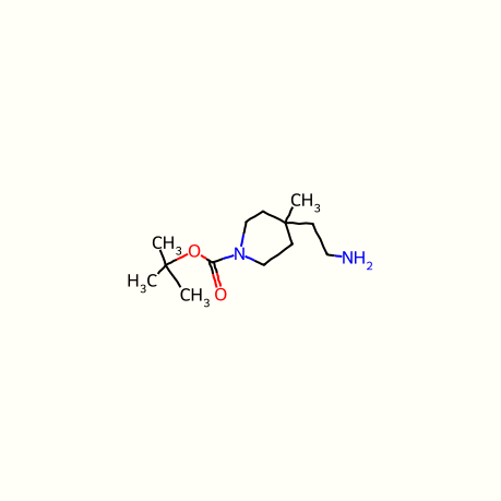 CC1(CCN)CCN(C(=O)OC(C)(C)C)CC1